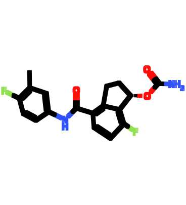 Cc1cc(NC(=O)c2ccc(F)c3c2CC[C@@H]3OC(N)=O)ccc1F